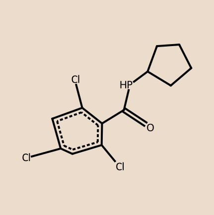 O=C(PC1CCCC1)c1c(Cl)cc(Cl)cc1Cl